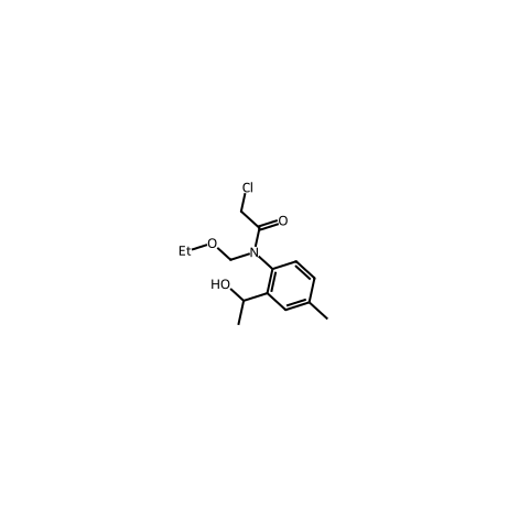 CCOCN(C(=O)CCl)c1ccc(C)cc1C(C)O